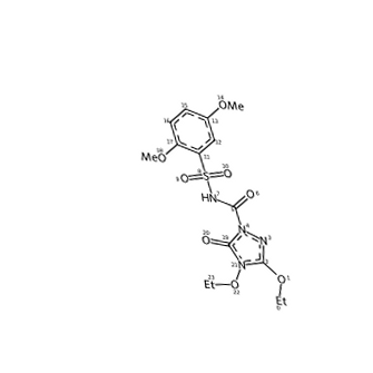 CCOc1nn(C(=O)NS(=O)(=O)c2cc(OC)ccc2OC)c(=O)n1OCC